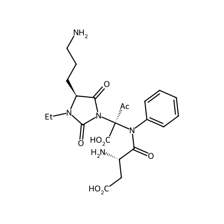 CCN1C(=O)N([C@](C(C)=O)(C(=O)O)N(C(=O)[C@@H](N)CC(=O)O)c2ccccc2)C(=O)[C@@H]1CCCN